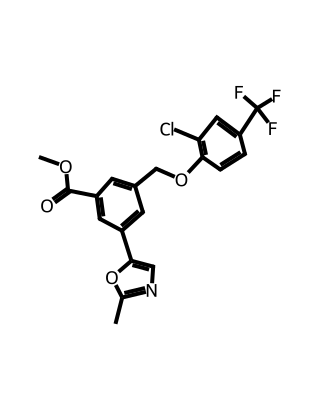 COC(=O)c1cc(COc2ccc(C(F)(F)F)cc2Cl)cc(-c2cnc(C)o2)c1